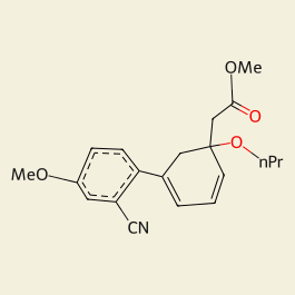 CCCOC1(CC(=O)OC)C=CC=C(c2ccc(OC)cc2C#N)C1